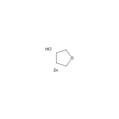 C1CCOC1.Cl.[Zn]